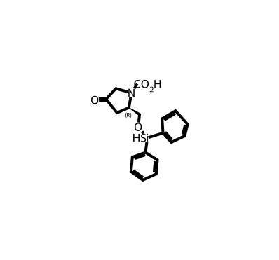 O=C1C[C@H](CO[SiH](c2ccccc2)c2ccccc2)N(C(=O)O)C1